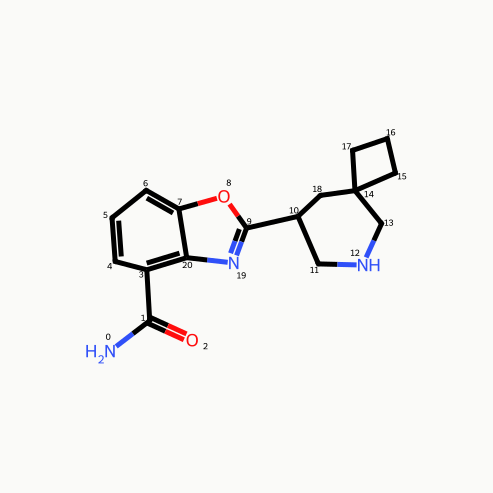 NC(=O)c1cccc2oc(C3CNCC4(CCC4)C3)nc12